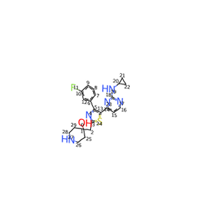 OC1(Cc2nc(-c3cccc(F)c3)c(-c3ccnc(NC4CC4)n3)s2)CCNCC1